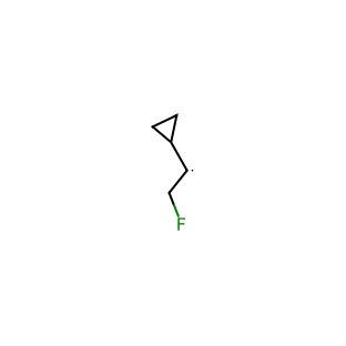 FC[CH]C1CC1